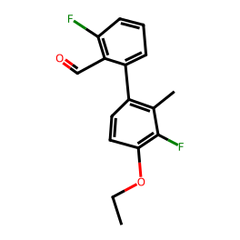 CCOc1ccc(-c2cccc(F)c2C=O)c(C)c1F